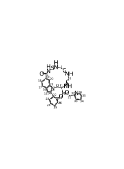 O=C1NSNCCNCCNC2Cn3c(cc4ccc1cc43)-c1ccccc1OC2OCc1ccccn1